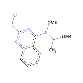 COC(C)N(OC)c1nc(CCl)nc2ccccc12